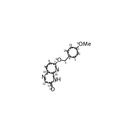 COc1ccc(COc2ccc3ncc(=O)[nH]c3n2)cc1